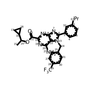 CC(C)c1cccc(-c2nc3nc(C(=O)OC(C)C4CC4)nc(N)c3n2Cc2ccc(C(F)(F)F)cc2)c1